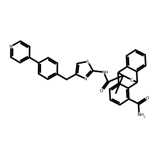 CC1(C(=O)Nc2nc(Cc3ccc(-c4ccncc4)cc3)cs2)CC2c3ccccc3C1c1cccc(C(N)=O)c12